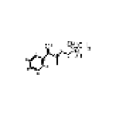 CS(=O)(=O)CCNC(=O)c1ccccc1